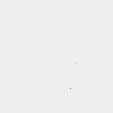 CC(C)(COCC(=O)N1CCc2c(n(Cc3cccc(C(F)(F)F)c3)c3ncccc23)C1)C(=O)O